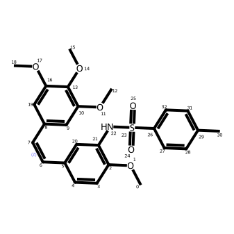 COc1ccc(/C=C\c2cc(OC)c(OC)c(OC)c2)cc1NS(=O)(=O)c1ccc(C)cc1